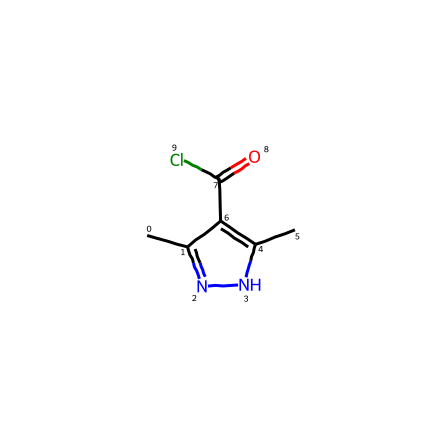 Cc1n[nH]c(C)c1C(=O)Cl